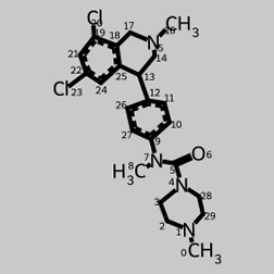 CN1CCN(C(=O)N(C)c2ccc(C3CN(C)Cc4c(Cl)cc(Cl)cc43)cc2)CC1